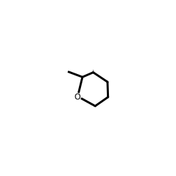 CC1[CH]CCCO1